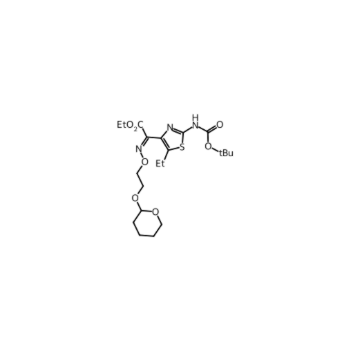 CCOC(=O)C(=NOCCOC1CCCCO1)c1nc(NC(=O)OC(C)(C)C)sc1CC